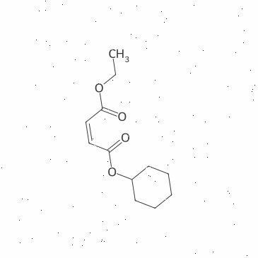 CCOC(=O)/C=C\C(=O)OC1CCCCC1